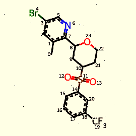 Cc1cc(Br)cnc1C1CC(S(=O)(=O)c2cccc(C(F)(F)F)c2)CCO1